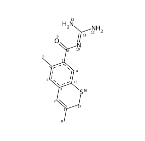 CC1=Cc2cc(C)c(C(=O)N=C(N)N)cc2SC1